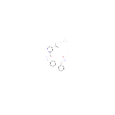 C[C@@H](NC(=O)c1cc(C2=CCN(C3COC3)CC2)ccn1)c1ccc(-c2cc(C(F)(F)F)ccc2CNC(=O)OC(C)(C)C)cc1